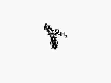 NC(=O)CN(Cc1cc2cncnc2cn1)Nc1ccc(S(=O)(=O)c2ccccc2)cc1